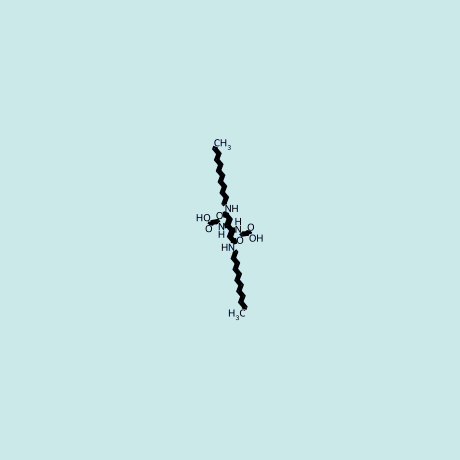 CCCCCCCCCCCCNC(=O)/C=C(NCC(=O)O)/C(=C/C(=O)NCCCCCCCCCCCC)NCC(=O)O